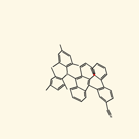 Cc1cc(C)c(B(c2c(C)cc(C)cc2C)c2c3ccccc3c(-c3cc(C#N)ccc3-c3ccccc3)c3ccccc23)c(C)c1